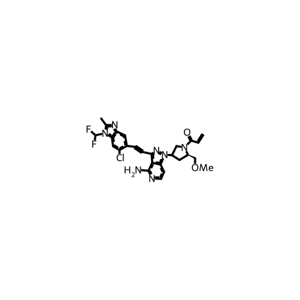 C=CC(=O)N1CC(n2nc(C#Cc3cc4nc(C)n(C(F)F)c4cc3Cl)c3c(N)nccc32)C[C@@H]1COC